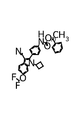 C[C@@H](OC(=O)Nc1ccc(-c2c(C#N)c3ccc(OC(F)F)cc3n2C2CCC2)cc1)c1ccccc1